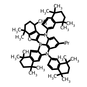 CC(C)c1cc2c3c(c1)N(c1ccc4c(c1)C(C)(C)CCC4(C)C)c1c(oc4c1C(C)CCC4(C)C)B3c1cc3c(cc1N2c1ccc2c(c1)C(C)(C)CCC2(C)C)C(C)(C)CCC3(C)C